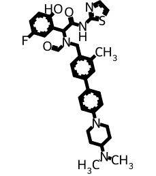 Cc1cc(-c2ccc(N3CCC(N(C)C)CC3)cc2)ccc1CN(C=O)C(C(=O)Nc1nccs1)c1cc(F)ccc1O